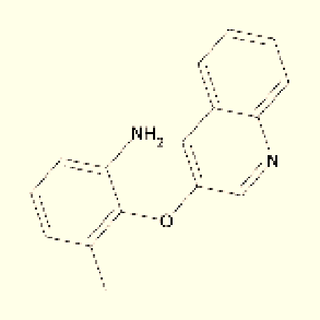 Cc1cccc(N)c1Oc1cnc2ccccc2c1